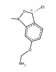 CC[C@H]1OB(C)c2cc(OCN)ccc21